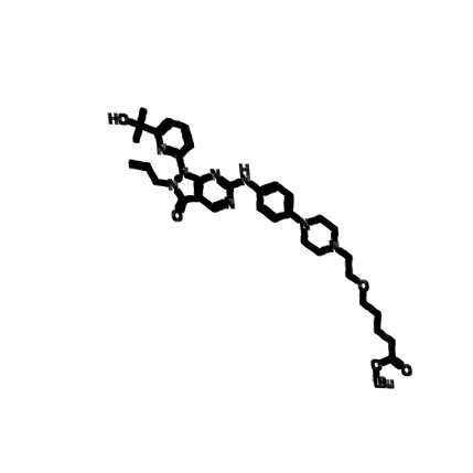 C=CCn1c(=O)c2cnc(Nc3ccc(N4CCN(CCOCCCCC(=O)OC(C)(C)C)CC4)cc3)nc2n1-c1cccc(C(C)(C)O)n1